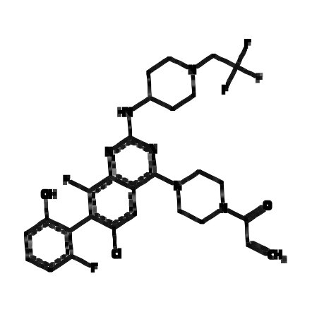 C=CC(=O)N1CCN(c2nc(NC3CCN(CC(F)(F)F)CC3)nc3c(F)c(-c4c(O)cccc4F)c(Cl)cc23)CC1